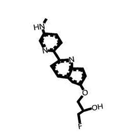 CNc1ccc(-c2ccc3cc(OCC(O)CF)ccc3n2)nc1